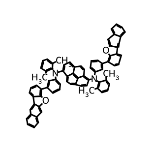 Cc1cccc(C)c1N(c1cccc(-c2cccc3c2oc2cc4ccccc4cc23)c1)c1ccc2ccc3c(N(c4cccc(-c5cccc6c5oc5cc7ccccc7cc56)c4)c4c(C)cccc4C)ccc4ccc1c2c43